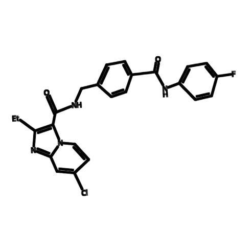 CCc1nc2cc(Cl)ccn2c1C(=O)NCc1ccc(C(=O)Nc2ccc(F)cc2)cc1